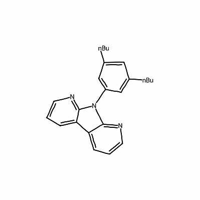 CCCCc1cc(CCCC)cc(-n2c3ncccc3c3cccnc32)c1